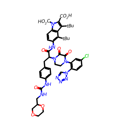 CC(C)(C)c1c(NC(=O)C(Cc2ccc(NC(=O)NCC3COCCO3)cc2)N2CCN(c3cc(Cl)ccc3-n3cnnn3)C(=O)C2=O)ccc2c1c(C(C)(C)C)c(C(=O)O)n2C(=O)O